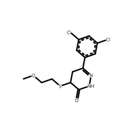 COCCSC1CC(c2cc(Cl)cc(Cl)c2)=NNC1=O